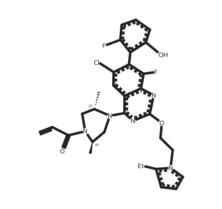 C=CC(=O)N1C[C@H](C)N(c2nc(OCCn3cccc3CC)nc3c(F)c(-c4c(O)cccc4F)c(Cl)cc23)C[C@H]1C